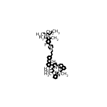 C=CNC(=C)C(CCC)n1c(=C)c2cc(F)c(N3CCN(CCCc4ccc(Cc5cccc(-c6ccc(N7CCc8cccc(C(=C)Nc9nc%10ccccc%10s9)c8C7)nc6C(=C)CC(C)(C)C)c5C)cc4)CC3)cc2c1=C